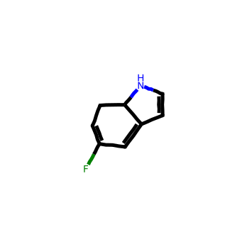 FC1=CCC2NC=CC2=C1